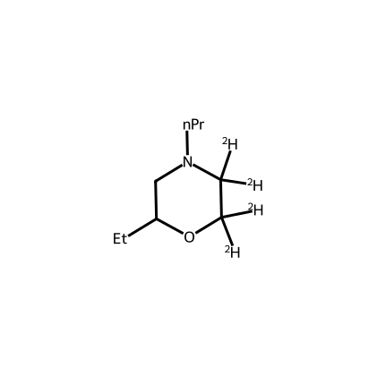 [2H]C1([2H])OC(CC)CN(CCC)C1([2H])[2H]